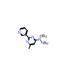 CCCCN(CCCC)c1cc(C)nc(-c2cccnc2)n1